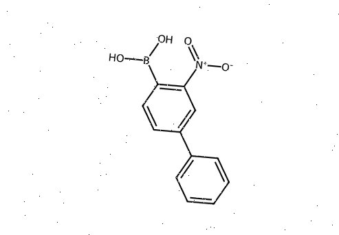 O=[N+]([O-])c1cc(-c2ccccc2)ccc1B(O)O